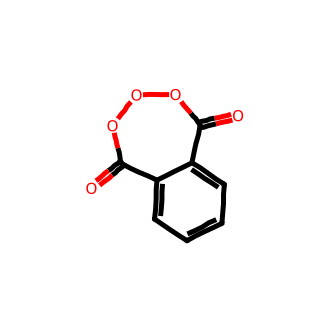 O=C1OOOC(=O)c2ccccc21